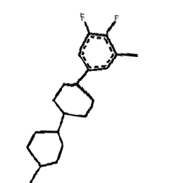 Cc1cc(C2CCC(C3CCC(C)CC3)CC2)cc(F)c1F